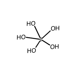 OI(O)(O)(O)O